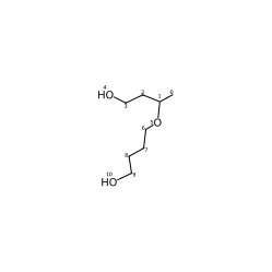 CC(CCO)OCCCCO